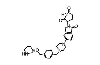 O=C1CCC(N2Cc3cc(N4CCN(Cc5ccc(CO[C@H]6CCCNC6)cc5)CC4)ccc3C2=O)C(=O)N1